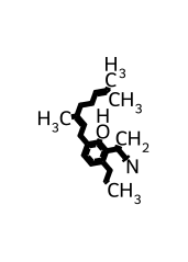 C=C(C#N)c1c(CCC)ccc(C/C=C(\C)CCC=C(C)C)c1O